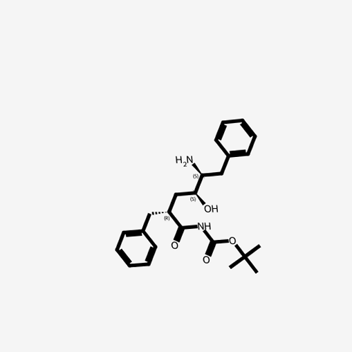 CC(C)(C)OC(=O)NC(=O)[C@H](Cc1ccccc1)C[C@H](O)[C@@H](N)Cc1ccccc1